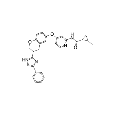 CC1CC1C(=O)Nc1cc(Oc2ccc3c(c2)CC(c2nc(-c4ccccc4)c[nH]2)CO3)ccn1